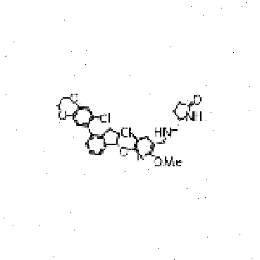 COc1nc(O[C@H]2CCc3c(-c4cc5c(cc4Cl)OCCO5)cccc32)c(Cl)cc1CNC[C@@H]1CCC(=O)N1